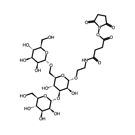 O=C(CCC(=O)ON1C(=O)CCC1=O)NCCO[C@H]1O[C@H](CO[C@H]2O[C@H](CO)[C@@H](O)[C@H](O)[C@@H]2O)[C@@H](O)[C@H](O[C@H]2O[C@H](CO)[C@@H](O)[C@H](O)[C@@H]2O)[C@@H]1O